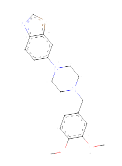 COc1ccc(CN2CCN(c3ccc4ncsc4c3)CC2)cc1OC